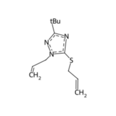 C=CCSc1nc(C(C)(C)C)nn1CC=C